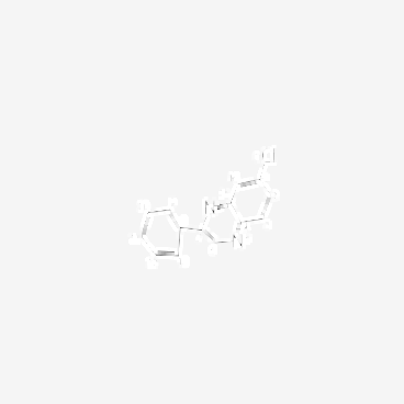 Clc1ccc2ncc(-c3ccccc3)nc2c1